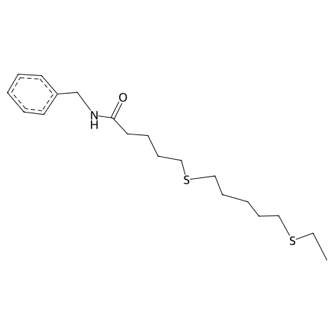 CCSCCCCCSCCCCC(=O)NCc1ccccc1